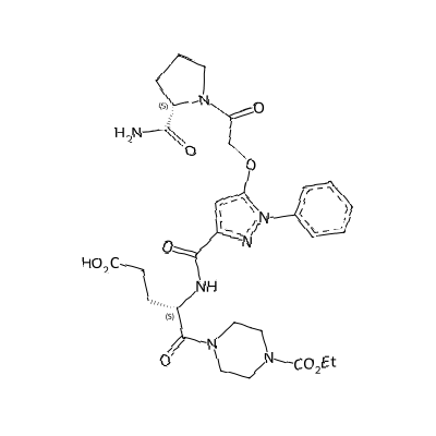 CCOC(=O)N1CCN(C(=O)[C@H](CCC(=O)O)NC(=O)c2cc(OCC(=O)N3CCC[C@H]3C(N)=O)n(-c3ccccc3)n2)CC1